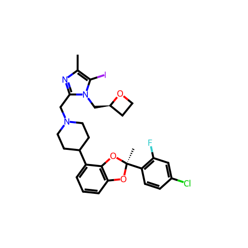 Cc1nc(CN2CCC(c3cccc4c3O[C@@](C)(c3ccc(Cl)cc3F)O4)CC2)n(C[C@@H]2CCO2)c1I